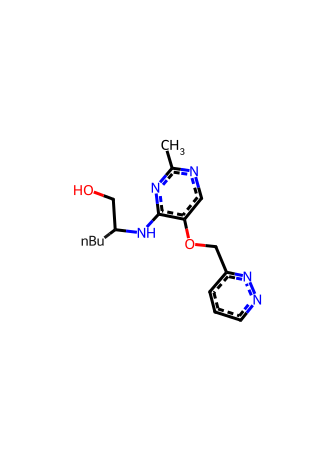 CCCCC(CO)Nc1nc(C)ncc1OCc1cccnn1